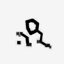 I.N=CN.NNCc1ccccc1